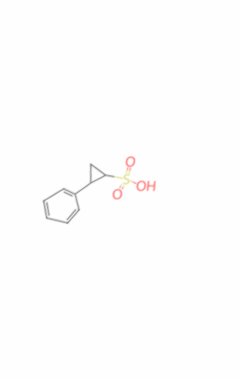 O=S(=O)(O)C1CC1c1ccccc1